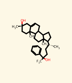 C[C@H](CCC(O)(c1ccccc1)C(F)(F)F)C1CCC2C3CC=C4C[C@@](C)(O)CCC4(C)C3CCC21C